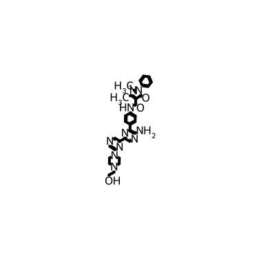 Cc1c(C(=O)Nc2ccc(-c3nc(-c4cncc(N5CCN(CCO)CC5)n4)cnc3N)cc2)c(=O)n(-c2ccccc2)n1C